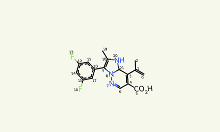 C=C(C)C1=C(C(=O)O)C=NN2C(c3cc(F)cc(F)c3)=C(C)NC12